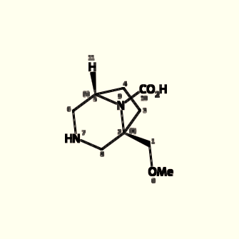 COC[C@@]12CC[C@@H](CNC1)N2C(=O)O